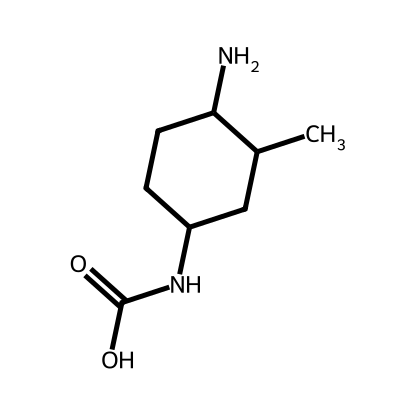 CC1CC(NC(=O)O)CCC1N